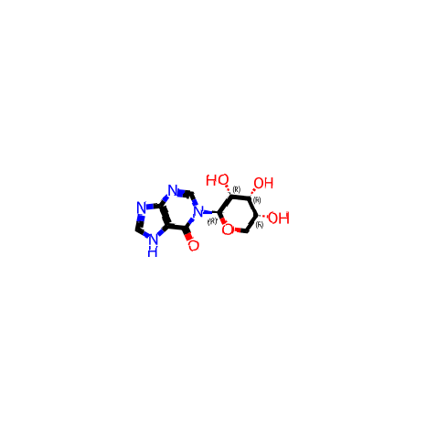 O=c1c2[nH]cnc2ncn1[C@@H]1OC[C@@H](O)[C@@H](O)[C@H]1O